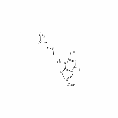 COc1ccc2c(c1)N(C)C=CC2NCCCCCO[N+](=O)[O-].I